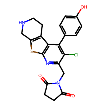 O=C1CCC(=O)N1Cc1nc2sc3c(c2c(-c2ccc(O)cc2)c1Cl)CCNC3